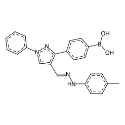 Cc1ccc(N/N=C/c2cn(-c3ccccc3)nc2-c2ccc(B(O)O)cc2)cc1